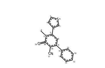 Cn1c(-c2ccsc2)cc(-c2ccccc2)c(C#N)c1=O